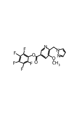 COc1cc(C(=O)Oc2c(F)c(F)c(F)c(F)c2F)cnc1Cn1cccn1